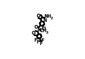 CN(C(=O)c1cc2c3c(c(N)nc2cc1Cl)COC3)[C@@H]1COCc2c1ccc(C(F)(F)F)c2F